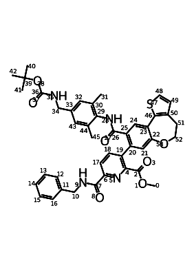 COC(=O)c1nc(C(=O)NCc2ccccc2)ccc1-c1cc2c(cc1C(=O)Nc1c(C)cc(CNC(=O)OC(C)(C)C)cc1C)-c1sccc1CCO2